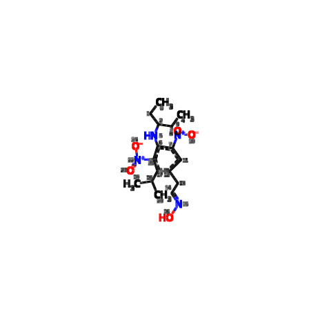 CCC(CC)Nc1c([N+](=O)[O-])cc(C/C=N/O)c(C(C)C)c1[N+](=O)[O-]